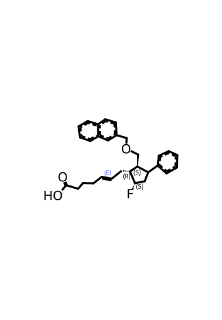 O=C(O)CCC/C=C/C[C@H]1[C@@H](F)CC(c2ccccc2)[C@@H]1COCc1ccc2ccccc2c1